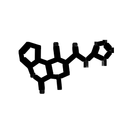 Cn1cc(C(=O)Nc2nnn[nH]2)c(=O)c2c3ccccc3oc(=O)c21